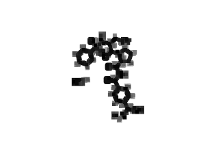 CC(C)C[C@H](NS(=O)(=O)c1ccccc1)C(=O)N1CCC[C@H]1C(=O)NC(=O)c1ccc(C(=N)N)cc1.Cl